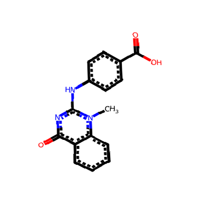 Cn1c(Nc2ccc(C(=O)O)cc2)nc(=O)c2ccccc21